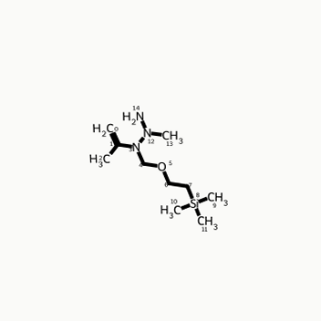 C=C(C)N(COCC[Si](C)(C)C)N(C)N